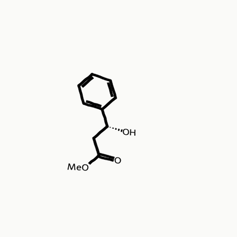 COC(=O)C[C@@H](O)c1ccccc1